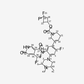 CC1CN(c2cc(F)c(C3=CCCN(C(=O)OC4CC(F)(F)C4)C3)cc2NC(=O)c2c[nH]c(=O)cc2C(F)F)CC(C)N1C